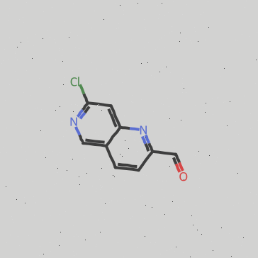 O=Cc1ccc2cnc(Cl)cc2n1